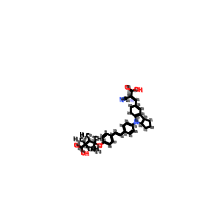 CC(C(C)(C)Oc1ccc(C=Cc2ccc(N3C4=C(C=C(/C=C(\C#N)C(=O)O)CC4)C4CCCC43)cc2)cc1)C(C)(C)C(=O)O